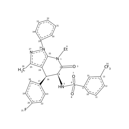 CCN1C(=O)[C@@H](NS(=O)(=O)c2cccc(C(F)(F)F)c2)[C@@H](c2ccc(F)cc2)c2c(C)nn(-c3ccccc3)c21